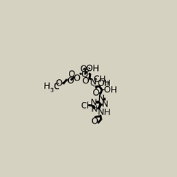 COCCOC(=O)OCOP(=O)(O)CC(=O)N(C)C[C@H]1O[C@@H](n2cnc3c(N[C@H]4CCOC4)nc(Cl)nc32)[C@H](O)[C@@H]1O